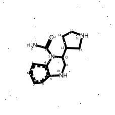 NC(=O)N1c2ccccc2NCC1C1CCNC1